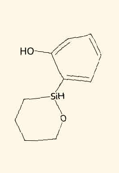 Oc1ccccc1[SiH]1CCCCO1